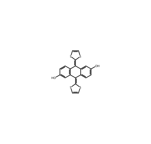 Oc1ccc2c(=C3SC=CS3)c3cc(O)ccc3c(=C3SC=CS3)c2c1